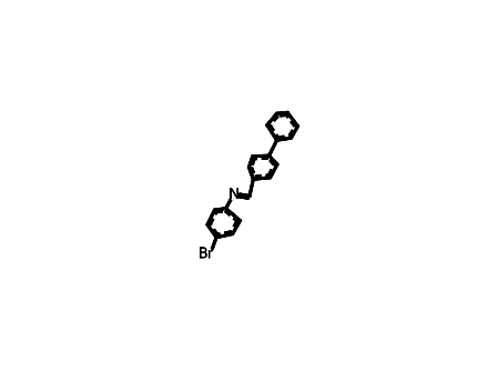 Brc1ccc(N=Cc2ccc(-c3ccccc3)cc2)cc1